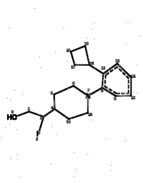 OCC(F)C1CCN(c2cc[c]cc2C2CCC2)CC1